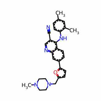 Cc1ccc(Nc2c(C#N)cnc3cc(-c4ccc(CN5CCN(C)CC5)o4)ccc23)c(C)c1